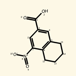 O=C(O)c1cc2c(c([N+](=O)[O-])c1)CCCC2